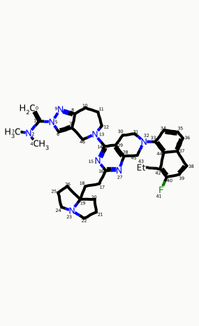 C=C(N(C)C)n1cc2c(n1)CCCN(c1nc(CCC34CCCN3CCC4)nc3c1CCN(c1cccc4ccc(F)c(CC)c14)C3)C2